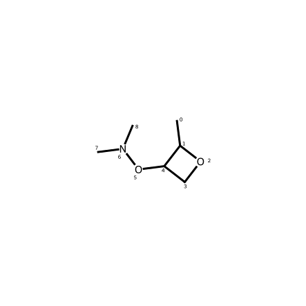 CC1OCC1ON(C)C